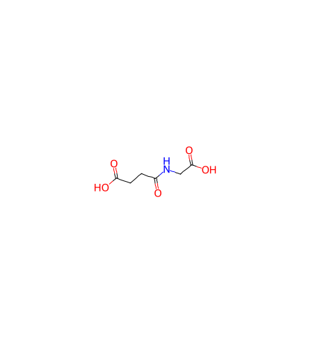 O=C(O)CCC(=O)NCC(=O)O